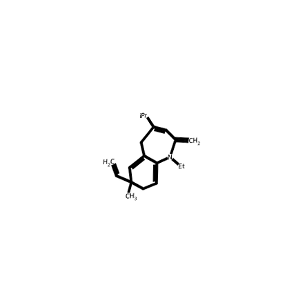 C=CC1(C)C=C2CC(C(C)C)=CC(=C)N(CC)C2=CC1